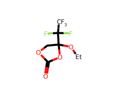 CCOC1(C(F)(F)C(F)(F)F)COC(=O)O1